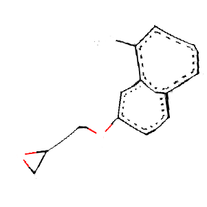 COc1cccc2ccc(OCC3CO3)cc12